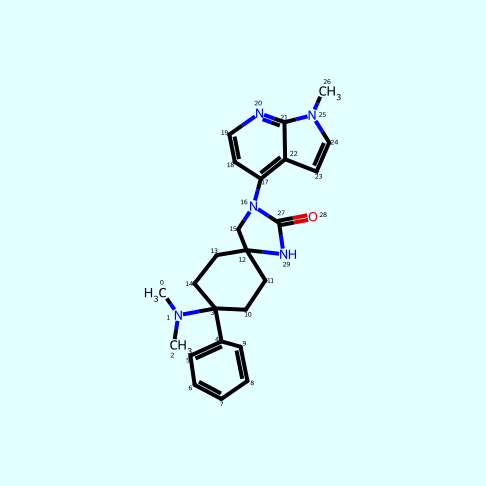 CN(C)C1(c2ccccc2)CCC2(CC1)CN(c1ccnc3c1ccn3C)C(=O)N2